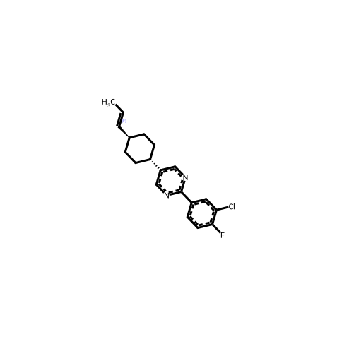 C/C=C/[C@H]1CC[C@H](c2cnc(-c3ccc(F)c(Cl)c3)nc2)CC1